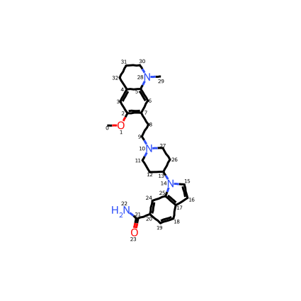 COc1cc2c(cc1CCN1CCC(n3ccc4ccc(C(N)=O)cc43)CC1)N(C)CCC2